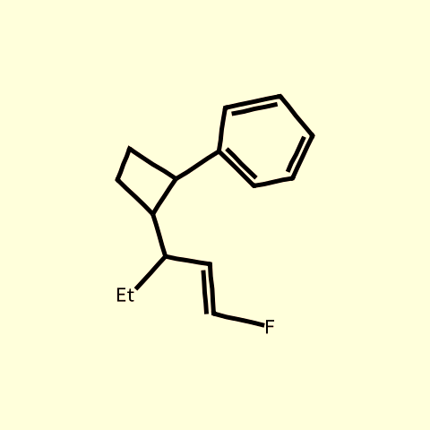 [CH2]CC(C=CF)C1CCC1c1ccccc1